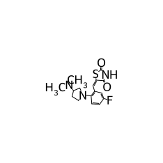 CN(C)C1CCN(c2ccc(F)cc2C=C2SC(=O)NC2=O)C1